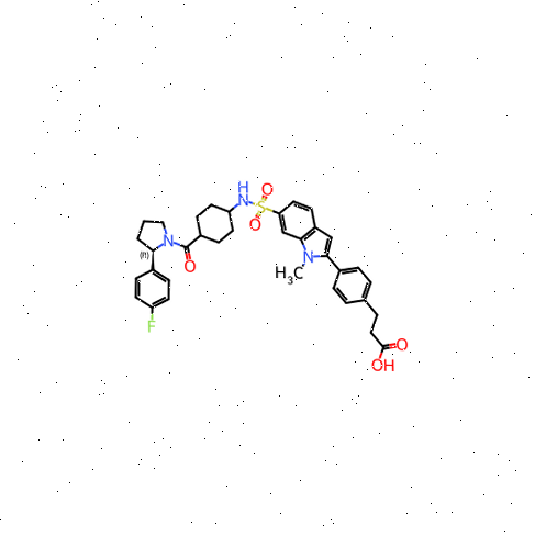 Cn1c(-c2ccc(CCC(=O)O)cc2)cc2ccc(S(=O)(=O)NC3CCC(C(=O)N4CCC[C@@H]4c4ccc(F)cc4)CC3)cc21